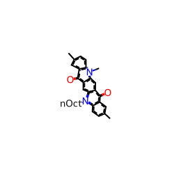 CCCCCCCCn1c2ccc(C)cc2c(=O)c2cc3c(cc21)c(=O)c1cc(C)ccc1n3C